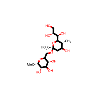 CO[C@@H]1OC(CO[C@]2(C(=O)O)CC(O)[C@@H](C)C([C@H](O)[C@H](O)CO)O2)[C@H](O)C(O)[C@@H]1O